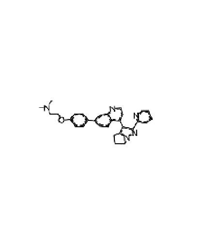 CN(C)CCOc1ccc(-c2ccc3c(-c4c(-c5ccccn5)nn5c4CCC5)ccnc3c2)cc1